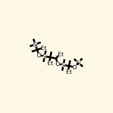 CCC(O[Si](C)(C)C(C)(CC)O[Si](C)(C)C)C(C)(CC)[Si](C)(C)OC(C)(CC)[Si](C)(C)C